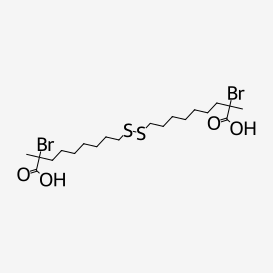 CC(Br)(CCCCCCCSSCCCCCCCC(C)(Br)C(=O)O)C(=O)O